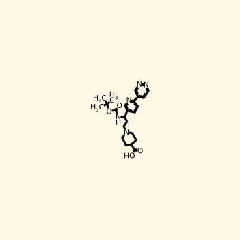 CC(C)(C)OC(=O)NC(CCN1CCC(C(=O)O)CC1)c1ccc(-c2ccnnc2)nc1